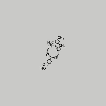 Cc1cc(C)c(C2=C3C=CC(=N3)C=C3C=CC(=N3)C(c3ccc(CC(=O)O)cc3)=C3C=CC(=N3)C=C3C=CC2=N3)c(C)c1